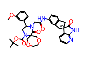 COc1cccc(C2CN(C(=O)OC(C)(C)C)C3(COCCOC3)C(=O)N2CC(=O)Nc2ccc3c(c2)C[C@@]2(C3)C(=O)Nc3ncccc32)c1